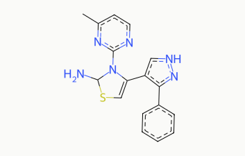 Cc1ccnc(N2C(c3c[nH]nc3-c3ccccc3)=CSC2N)n1